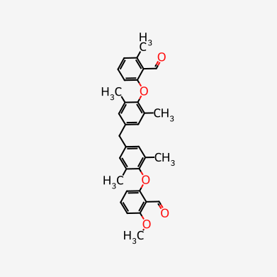 COc1cccc(Oc2c(C)cc(Cc3cc(C)c(Oc4cccc(C)c4C=O)c(C)c3)cc2C)c1C=O